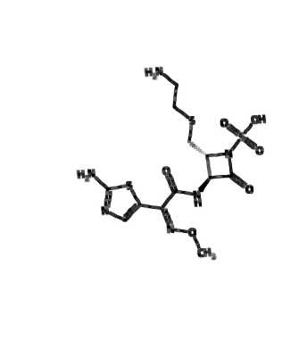 CO/N=C(\C(=O)N[C@@H]1C(=O)N(S(=O)(=O)O)[C@H]1CSCCN)c1cnc(N)s1